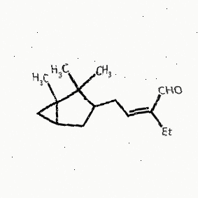 CCC(C=O)=CCC1CC2CC2(C)C1(C)C